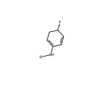 CCNC1=CCC(F)C=C1